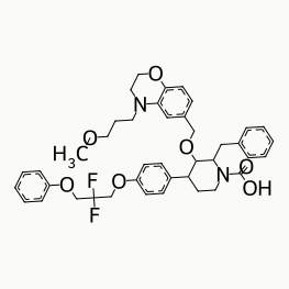 COCCCN1CCOc2ccc(COC3C(c4ccc(OCC(F)(F)COc5ccccc5)cc4)CCN(C(=O)O)C3Cc3ccccc3)cc21